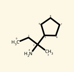 CCC(C)(N)C1CCCC1